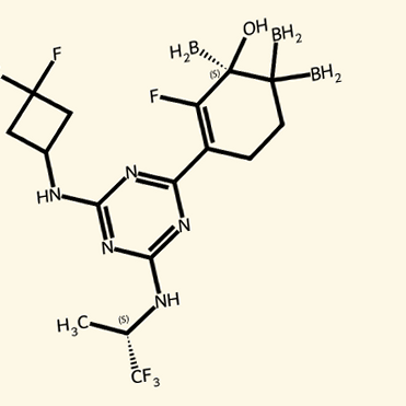 BC1(B)CCC(c2nc(NC3CC(F)(F)C3)nc(N[C@@H](C)C(F)(F)F)n2)=C(F)[C@@]1(B)O